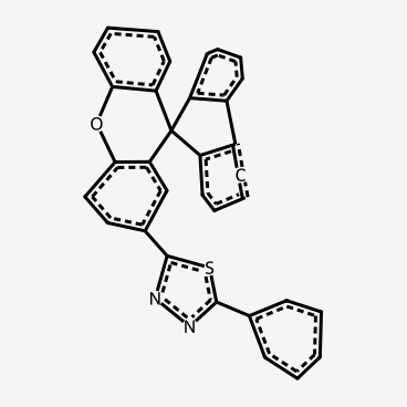 c1ccc(-c2nnc(-c3ccc4c(c3)C3(c5ccccc5O4)c4ccccc4-c4ccccc43)s2)cc1